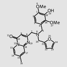 COc1ccc(CN(Cc2cc(=O)n3ccc(C)cc3n2)Cc2ccco2)c(OC)c1O